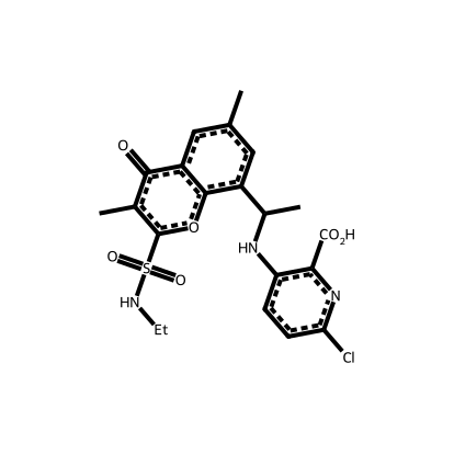 CCNS(=O)(=O)c1oc2c(C(C)Nc3ccc(Cl)nc3C(=O)O)cc(C)cc2c(=O)c1C